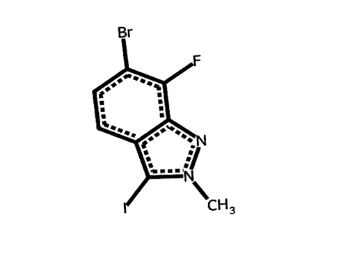 Cn1nc2c(F)c(Br)ccc2c1I